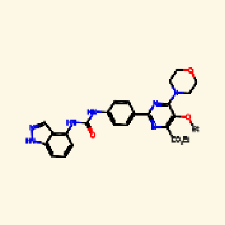 CCOC(=O)c1nc(-c2ccc(NC(=O)Nc3cccc4[nH]ncc34)cc2)nc(N2CCOCC2)c1OCC